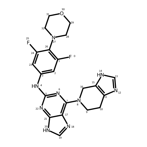 Fc1cc(Nc2nc(N3CCc4nc[nH]c4C3)c3nc[nH]c3n2)cc(F)c1N1CCOCC1